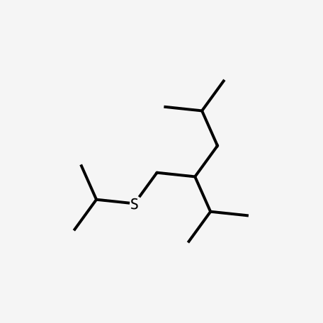 CC(C)CC(CSC(C)C)C(C)C